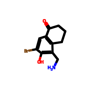 NCc1c(O)c(Br)cc2c1CCCC2=O